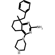 CC1(Cc2ccccc2)CCCc2c(N3CCNCC3)nc(N)nc21